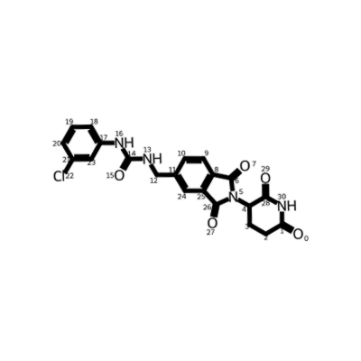 O=C1CCC(N2C(=O)c3ccc(CNC(=O)Nc4cccc(Cl)c4)cc3C2=O)C(=O)N1